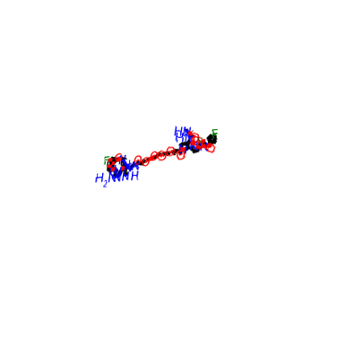 CN[C@H](C)C(=O)N[C@@H](C(=O)N1CCC[C@@H]1C1=NC(C(=O)c2ccc(F)cc2)CS1)C1CCN(C(=O)CCOCCOCCOCCOCCC(=O)NCCn2nc3c(c2C#N)-c2cnc(N)c(n2)N2CCC[C@@H]2c2cc(F)ccc2C(=O)N(C)C3)CC1